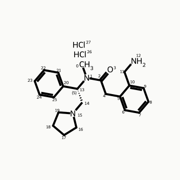 CN(C(=O)Cc1ccccc1CN)[C@H](CN1CCCC1)c1ccccc1.Cl.Cl